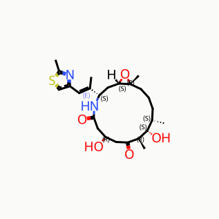 C/C(=C\c1csc(C)n1)[C@@H]1C[C@@H]2O[C@]2(C)CCC[C@H](C)[C@H](O)[C@@H](C)C(=O)C[C@@H](O)CC(=O)N1